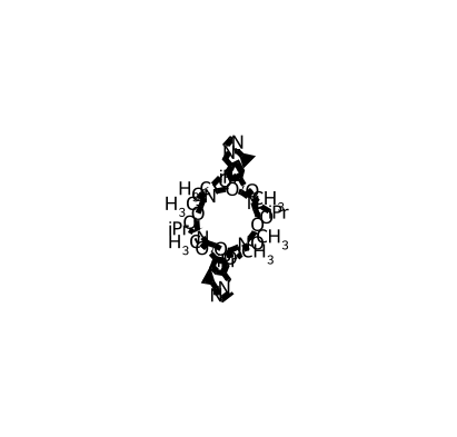 CC(C)C[C@H]1C(=O)O[C@H](Cc2ccc(Cn3ccnc3C3CC3)cc2)C(=O)N(C)[C@@H](CC(C)C)C(=O)O[C@H](C)C(=O)N(C)[C@@H](CC(C)C)C(=O)O[C@H](Cc2ccc(Cn3ccnc3C3CC3)cc2)C(=O)N(C)[C@@H](CC(C)C)C(=O)O[C@H](C)C(=O)N1C